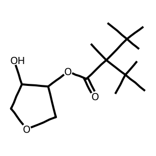 CC(C)(C)C(C)(C(=O)OC1COCC1O)C(C)(C)C